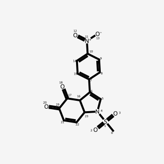 CS(=O)(=O)N1C=C(c2ccc([N+](=O)[O-])cc2)C2C(=O)C(=O)C=CC21